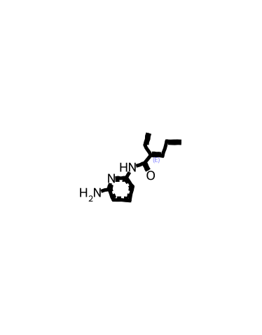 C=C/C=C(\C=C)C(=O)Nc1cccc(N)n1